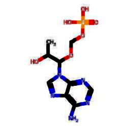 CC(O)C(OCOP(=O)(O)O)n1cnc2c(N)ncnc21